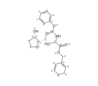 CC(NP(OC[C@@H]1OCC[C@@H]1O)Oc1ccccc1)C(=O)OCC1=CCCC=C1